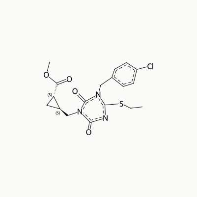 CCSc1nc(=O)n(C[C@H]2C[C@@H]2C(=O)OC)c(=O)n1Cc1ccc(Cl)cc1